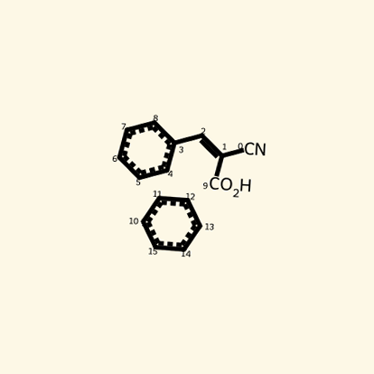 N#CC(=Cc1ccccc1)C(=O)O.[c]1ccccc1